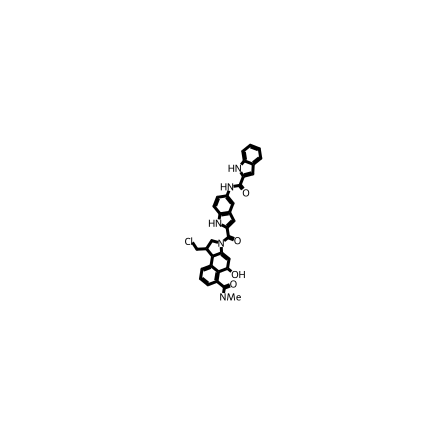 CNC(=O)c1cccc2c1C(O)C=C1C2C(CCl)CN1C(=O)c1cc2cc(NC(=O)c3cc4ccccc4[nH]3)ccc2[nH]1